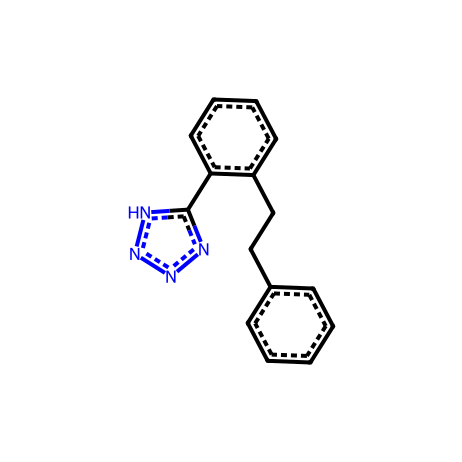 c1ccc(CCc2ccccc2-c2nnn[nH]2)cc1